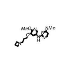 CNc1ccnc(Nc2cnc(OC)c(OCCCN3CCC3)c2)n1